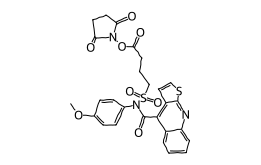 COc1ccc(N(C(=O)c2c3ccccc3nc3sccc23)S(=O)(=O)CCCC(=O)ON2C(=O)CCC2=O)cc1